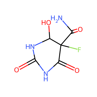 NC(=O)C1(F)C(=O)NC(=O)NC1O